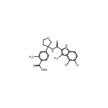 COC(=O)c1ccc(C2(NC(=O)c3[nH]c4ccc(Cl)c(Cl)c4c3C)CCOC2)cc1C